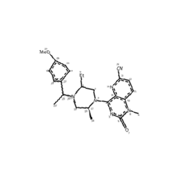 CCC1CN(c2nc(=O)n(C)c3ccc(C#N)nc23)[C@@H](C)CN1C(C)c1ccc(OC)cc1